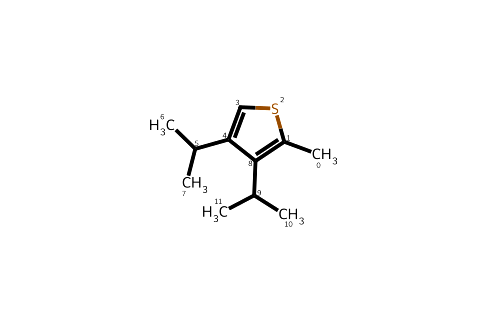 Cc1scc(C(C)C)c1C(C)C